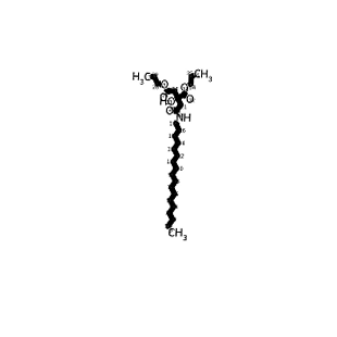 CCCCCCCCCCCCCCCCCCNC(=O)CC(O)(CC(=O)OCCC)C(=O)OCCC